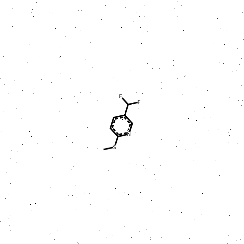 CSc1ccc(C(F)F)cn1